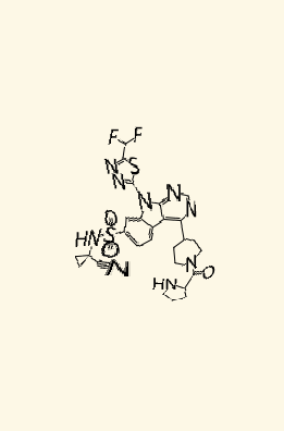 N#CC1(NS(=O)(=O)c2ccc3c4c(C5CCN(C(=O)C6CCCN6)CC5)ncnc4n(-c4nnc(C(F)F)s4)c3c2)CC1